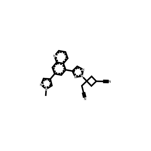 Cn1cc(-c2cc(-c3cnn(C4(CC#N)CC(C#N)C4)n3)c3cccnc3c2)cn1